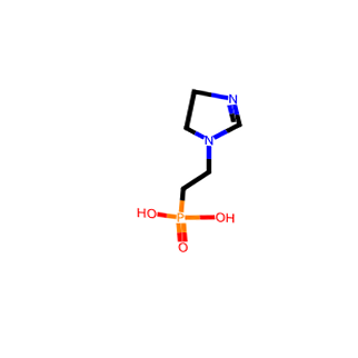 O=P(O)(O)CCN1C=NCC1